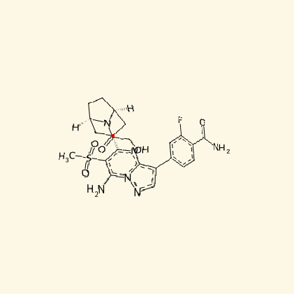 CS(=O)(=O)c1c([C@@H]2C[C@H]3CC[C@@H](C2)N3C(=O)CO)nc2c(-c3ccc(C(N)=O)c(F)c3)cnn2c1N